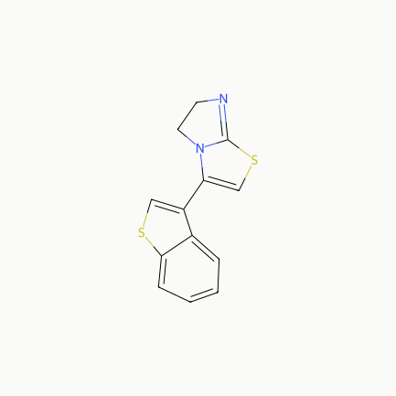 C1=C(c2csc3ccccc23)N2CCN=C2S1